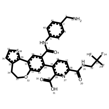 NCc1ccc(NC(=O)c2cc3c(cc2-c2ccc(C(=O)NCC(F)(F)F)nc2C(=O)O)OCCc2ccsc2-3)cc1